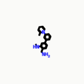 CNc1cc(-c2cccc(N3C=CCC=C3C)c2)ccc1CN